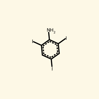 Nc1c(I)cc(I)cc1I